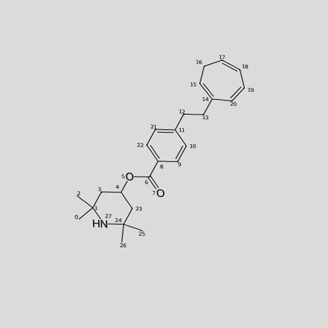 CC1(C)CC(OC(=O)c2ccc(CCC3=CCC=CC=C3)cc2)CC(C)(C)N1